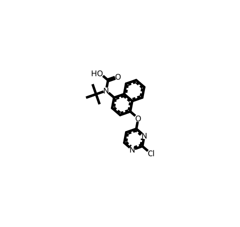 CC(C)(C)N(C(=O)O)c1ccc(Oc2ccnc(Cl)n2)c2ccccc12